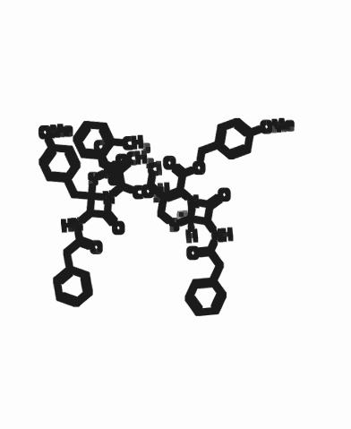 C=C(CCl)C(C(=O)O)N1C(=O)C(NC(=O)Cc2ccccc2)C1(Cc1ccc(OC)cc1)SS(=O)(=O)c1ccccc1C.COc1ccc(COC(=O)C2=C(CCl)CS[C@H]3C(NC(=O)Cc4ccccc4)C(=O)N23)cc1